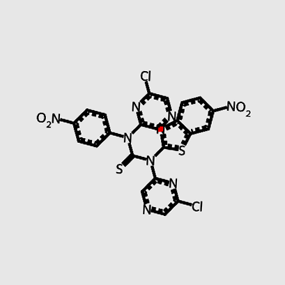 O=[N+]([O-])c1ccc(N(C(=S)N(c2cncc(Cl)n2)c2nc3ccc([N+](=O)[O-])cc3s2)c2cncc(Cl)n2)cc1